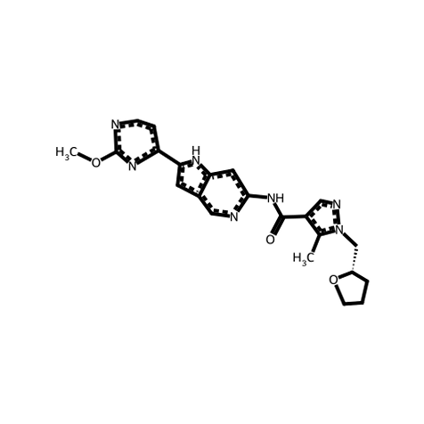 COc1nccc(-c2cc3cnc(NC(=O)c4cnn(C[C@@H]5CCCO5)c4C)cc3[nH]2)n1